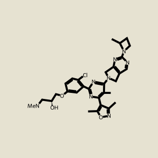 CNC[C@@H](O)COc1ccc(Cl)c(-c2nc(-c3c(C)noc3C)c(C)c(N3Cc4cnc(N5CCC5C)nc4C3)n2)c1